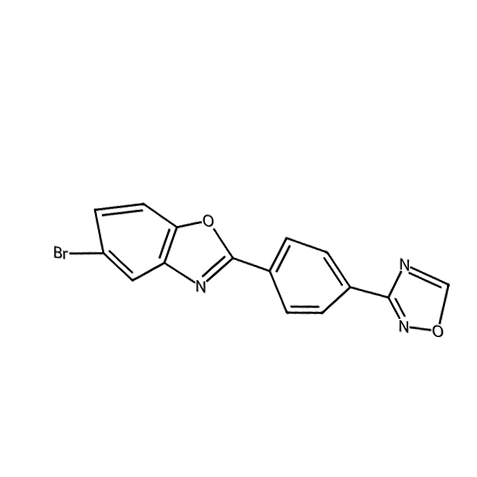 Brc1ccc2oc(-c3ccc(-c4ncon4)cc3)nc2c1